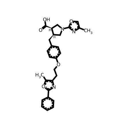 Cc1coc(N2C[C@@H](Cc3ccc(OCCc4nc(-c5ccccc5)oc4C)cc3)[C@@H](C(=O)O)C2)n1